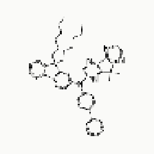 CCCCCCC1(CCCCCC)c2ccccc2-c2ccc(N(c3ccc(-c4ccccc4)cc3)c3cnc4c(n3)C(C)(C)c3nccnc3-4)cc21